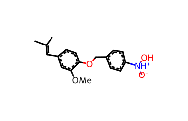 COc1cc(C=C(C)C)ccc1OCc1ccc([NH+]([O-])O)cc1